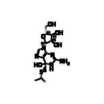 CC(C)SSC1(O)NC(N)=Nc2c1ncn2[C@@H]1O[C@H](CO)[C@@H](O)[C@H]1O